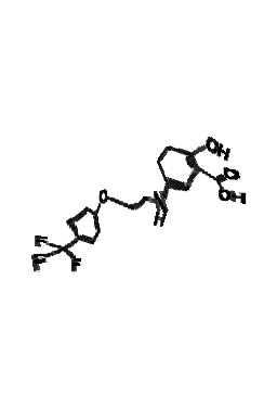 O=C(O)c1cc(NCCOc2ccc(C(F)(F)F)cc2)ccc1O